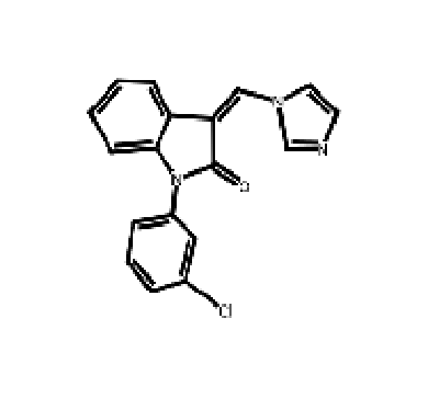 O=C1/C(=C\n2ccnc2)c2ccccc2N1c1cccc(Cl)c1